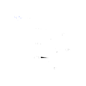 CCC[C@H](CC)[C@@H](C)C(C)(C)CCCN